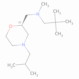 CC(C)CN1CCO[C@@H](CN(C)CC(C)(C)C)C1